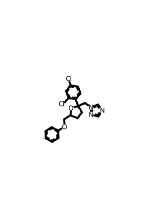 Clc1ccc(C2(Cn3cncn3)CCC(COc3cc[c]cc3)O2)c(Cl)c1